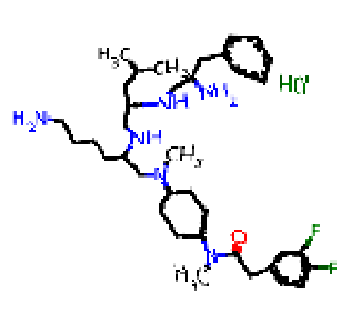 CC(C)CC(CNC(CCCCN)CN(C)C1CCC(N(C)C(=O)Cc2ccc(F)c(F)c2)CC1)NCC(N)Cc1ccccc1.Cl